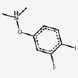 C[SiH](C)Oc1ccc(I)c(F)c1